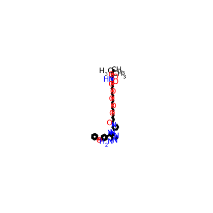 CC(C)(C)OC(=O)NC(=O)OCCOCCOCCOCCOC/C=C/C(=O)N1CCC[C@@H](n2nc(-c3ccc(Oc4ccccc4)cc3)c3c(N)ncnc32)C1